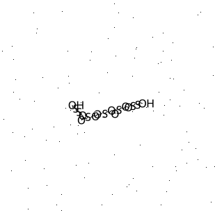 O=C(CSCCOOCSCSCO)OCCSCCOOCCSCC(=O)OCSCSCO